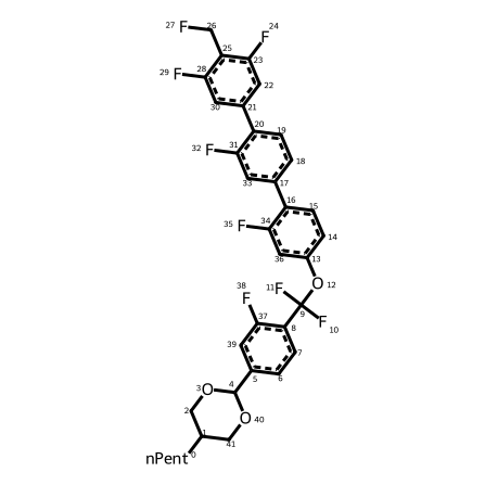 CCCCCC1COC(c2ccc(C(F)(F)Oc3ccc(-c4ccc(-c5cc(F)c(CF)c(F)c5)c(F)c4)c(F)c3)c(F)c2)OC1